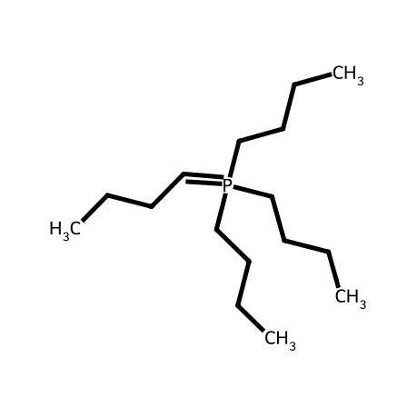 CCCC=P(CCCC)(CCCC)CCCC